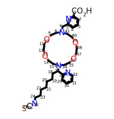 O=C(O)c1cccc(CN2CCOCCOCCN(C(CCCCCCCN=C=S)c3ccccn3)CCOCCOCC2)n1